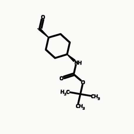 CC(C)(C)OC(=O)N[C@H]1CC[C@@H]([C]=O)CC1